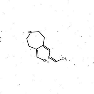 C\C=N/C=C1/CCNCC/C1=C/C